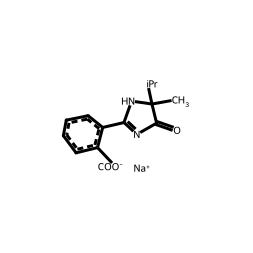 CC(C)C1(C)NC(c2ccccc2C(=O)[O-])=NC1=O.[Na+]